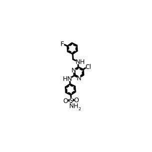 NS(=O)(=O)c1ccc(Nc2ncc(Cl)c(NCc3cccc(F)c3)n2)cc1